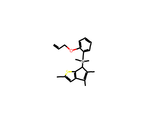 C=CCOc1ccccc1[Si](C)(C)C1C(C)=C(C)c2cc(C)sc21